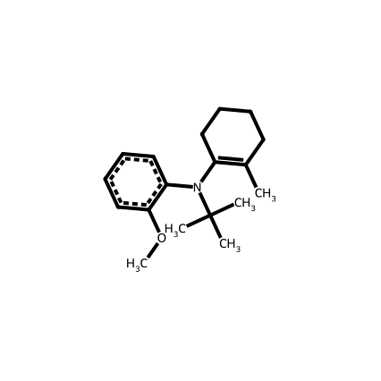 COc1ccccc1N(C1=C(C)CCCC1)C(C)(C)C